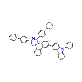 c1ccc(-c2ccc(-c3nc(-c4ccc(-c5ccccc5)cc4)nc(-c4ccccc4-c4cccc(-c5ccc6c(c5)c5ccccc5n6-c5ccccc5)c4)n3)cc2)cc1